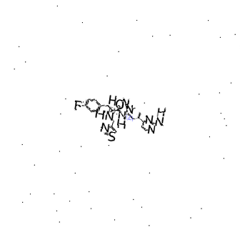 C=C(/C=C(/NC(=O)[C@H](Cc1ccc(F)cc1)NCc1cscn1)N(C)N)c1ccnc(NC)n1